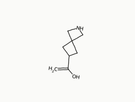 C=C(O)C1CC2(CNC2)C1